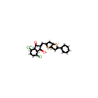 O=C1C(=Cc2cc3sc(-c4ccccc4)cc3s2)C(=O)c2c(Cl)ccc(Cl)c21